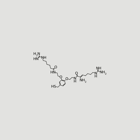 N=C(N)NCCCCC=C(N)C(=O)NCCOc1ccc(CS)cc1OCCNC(=O)CCCCCNC(=N)N